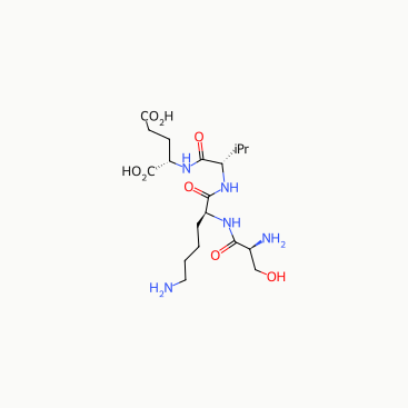 CC(C)[C@H](NC(=O)[C@H](CCCCN)NC(=O)[C@@H](N)CO)C(=O)N[C@@H](CCC(=O)O)C(=O)O